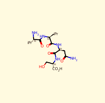 CC(C)[C@H](N)C(=O)N[C@H](C(=O)N[C@@H](CC(N)=O)C(=O)N[C@@H](CO)C(=O)O)C(C)C